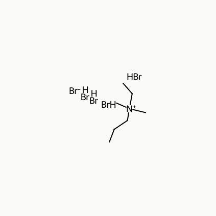 Br.Br.Br.Br.CCC[N+](C)(C)CC.[Br-]